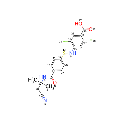 CC(C)(CC#N)NC(=O)c1ccc(SNc2cc(F)c(C(=O)O)cc2F)cc1